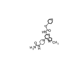 Cc1cc2nc(NC(=O)C3CC3c3ccncc3)cc(N3CCC(NC(N)=O)CC3)n2n1